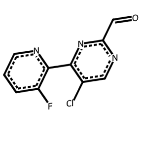 O=Cc1ncc(Cl)c(-c2ncccc2F)n1